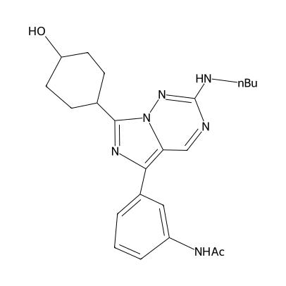 CCCCNc1ncc2c(-c3cccc(NC(C)=O)c3)nc(C3CCC(O)CC3)n2n1